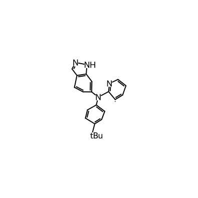 CC(C)(C)c1ccc(N(c2ccc3cn[nH]c3c2)c2[c]cccn2)cc1